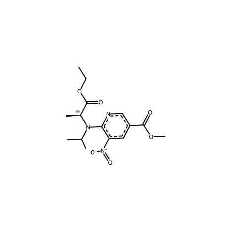 CCOC(=O)[C@H](C)N(c1ncc(C(=O)OC)cc1[N+](=O)[O-])C(C)C